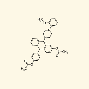 COc1ccccc1N1CCN(C(=O)c2ccccc2C(c2ccc(OC(C)=O)cc2)c2ccc(OC(C)=O)cc2)CC1